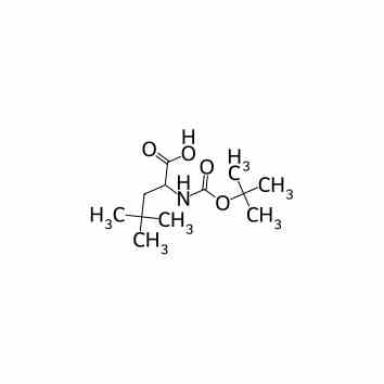 CC(C)(C)CC(NC(=O)OC(C)(C)C)C(=O)O